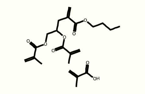 C=C(C)C(=O)O.C=C(C)C(=O)OCC(CC(=C)C(=O)OCCCC)OC(=O)C(=C)C